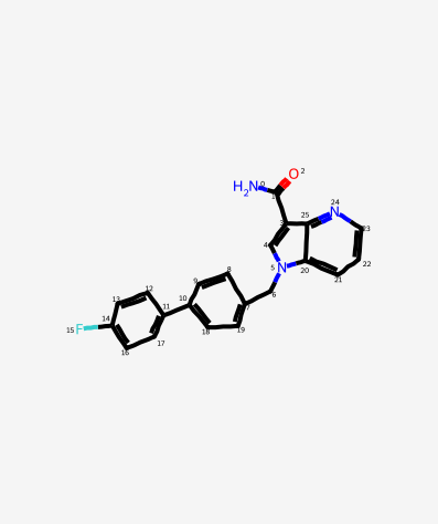 NC(=O)c1cn(Cc2ccc(-c3ccc(F)cc3)cc2)c2cccnc12